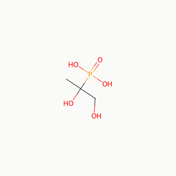 CC(O)(CO)P(=O)(O)O